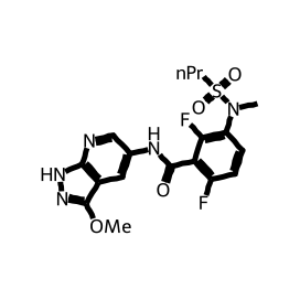 CCCS(=O)(=O)N(C)c1ccc(F)c(C(=O)Nc2cnc3[nH]nc(OC)c3c2)c1F